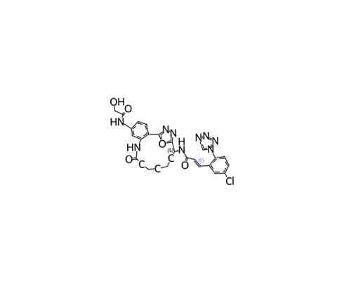 O=C(/C=C/c1cc(Cl)ccc1-n1cnnn1)N[C@H]1CCCCCC(=O)Nc2cc(NC(=O)CO)ccc2-c2nnc1o2